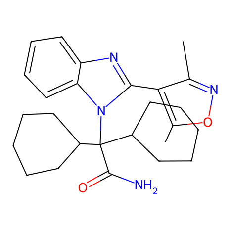 Cc1noc(C)c1-c1nc2ccccc2n1C(C(N)=O)(C1CCCCC1)C1CCCCC1